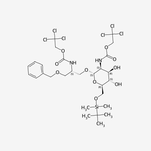 CC(C)(C)[Si](C)(C)OC[C@H]1O[C@H](OC[C@H](COCc2ccccc2)NC(=O)OCC(Cl)(Cl)Cl)[C@@H](NC(=O)OCC(Cl)(Cl)Cl)[C@@H](O)[C@@H]1O